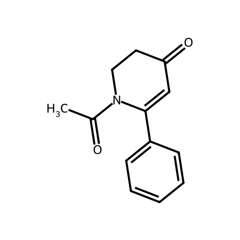 CC(=O)N1CCC(=O)C=C1c1ccccc1